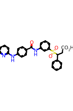 O=C(O)CC(c1ccccc1)S(=O)(=O)c1cccc(NC(=O)c2ccc(Nc3ccccn3)cc2)c1